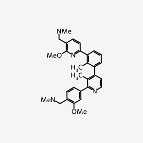 CNCc1ccc(-c2nccc(-c3cccc(-c4ccc(CNC)c(OC)n4)c3C)c2C)cc1OC